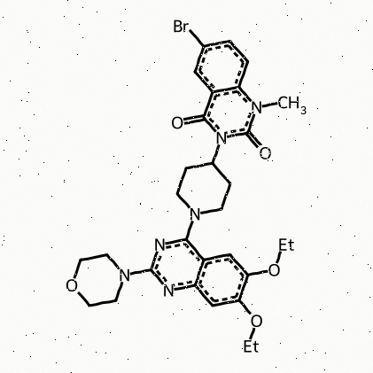 CCOc1cc2nc(N3CCOCC3)nc(N3CCC(n4c(=O)c5cc(Br)ccc5n(C)c4=O)CC3)c2cc1OCC